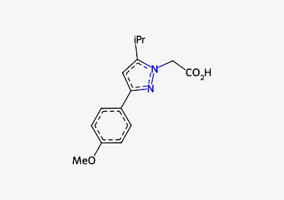 COc1ccc(-c2cc(C(C)C)n(CC(=O)O)n2)cc1